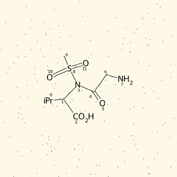 CC(C)C(C(=O)O)N(C(=O)CN)S(C)(=O)=O